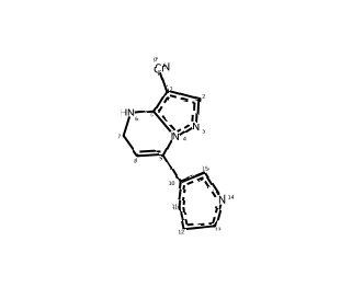 N#Cc1cnn2c1NCC=C2c1cccnc1